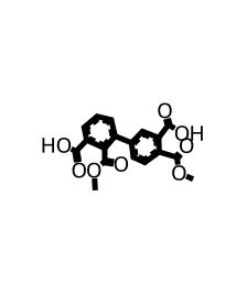 COC(=O)c1ccc(-c2cccc(C(=O)O)c2C(=O)OC)cc1C(=O)O